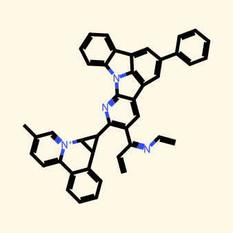 C=C/N=C(/C=C)c1cc2c3cc(-c4ccccc4)cc4c5ccccc5n(c2nc1C1C2c5ccccc5-c5ccc(C)c[n+]5C21)c43